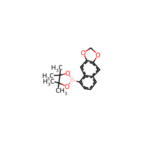 CC1(C)OB(c2cccc3cc4c(cc23)OCO4)OC1(C)C